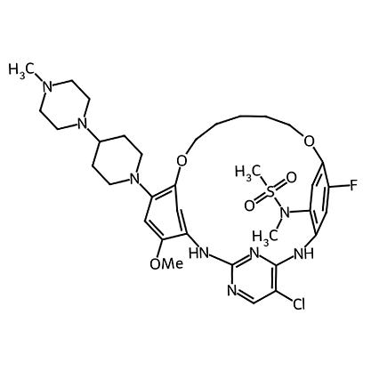 COc1cc(N2CCC(N3CCN(C)CC3)CC2)c2cc1Nc1ncc(Cl)c(n1)Nc1cc(F)c(cc1N(C)S(C)(=O)=O)OCCCCCO2